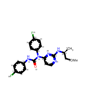 COC[C@H](C)Nc1nccc(N(C(=O)Nc2ccc(F)cc2)c2ccc(F)cc2)n1